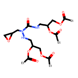 CCC(=O)OCC(CNC(=O)N(CC1CO1)NCC(COC(=O)CC)OC(=O)CC)OC(=O)CC